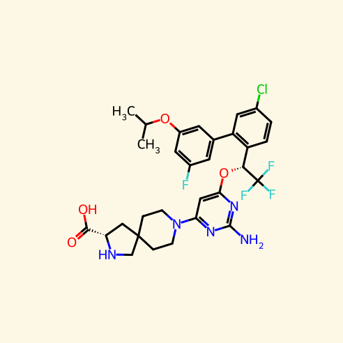 CC(C)Oc1cc(F)cc(-c2cc(Cl)ccc2[C@@H](Oc2cc(N3CCC4(CC3)CN[C@H](C(=O)O)C4)nc(N)n2)C(F)(F)F)c1